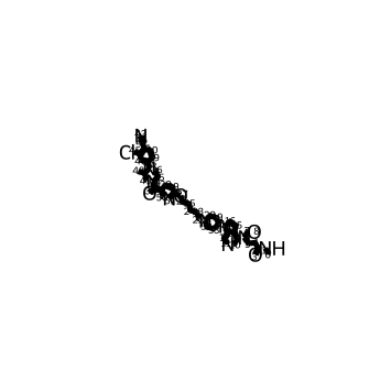 CNC(=O)CCN(C=O)c1cncc2c1ccn2C1CCN(CCCCCOc2ccc(C(=O)N3CCN(c4ccc(C#N)c(Cl)c4)C(C)C3)cn2)CC1